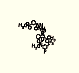 COC(=O)c1cccc(NC(=O)NCC(=O)N(CCC(C)C)c2ccccc2OCC(=O)N(C)c2cc(F)cc(F)c2)c1